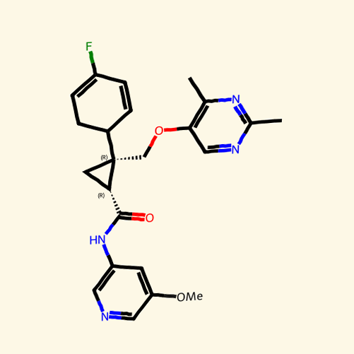 COc1cncc(NC(=O)[C@@H]2C[C@@]2(COc2cnc(C)nc2C)C2C=CC(F)=CC2)c1